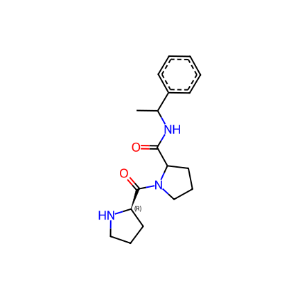 CC(NC(=O)C1CCCN1C(=O)[C@H]1CCCN1)c1ccccc1